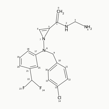 C=C(NCN)C1=CN1N(Cc1ccc(Cl)cc1)c1cccc(C(F)F)c1